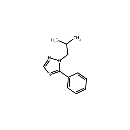 CC(C)Cn1ncnc1-c1ccccc1